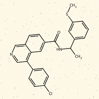 CSc1cccc(C(C)NC(=O)c2ccc3cncc(-c4ccc(Cl)cc4)c3c2)c1